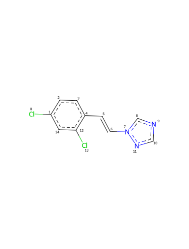 Clc1ccc(/C=C/n2cncn2)c(Cl)c1